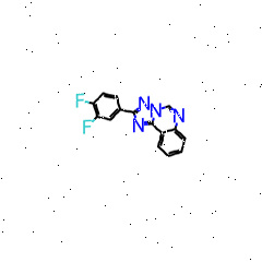 Fc1ccc(-c2nc3c4ccccc4ncn3n2)cc1F